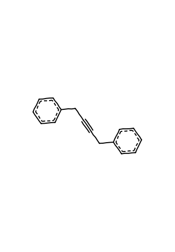 C(#CCc1ccccc1)Cc1ccccc1